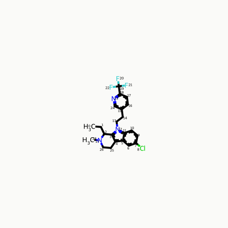 CCC1c2c(c3cc(Cl)ccc3n2CCc2ccc(C(F)(F)F)nc2)CCN1C